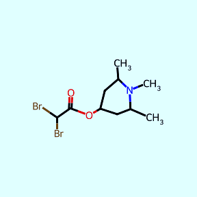 CC1CC(OC(=O)C(Br)Br)CC(C)N1C